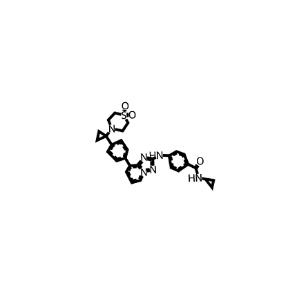 O=C(NC1CC1)c1ccc(Nc2nc3c(-c4ccc(C5(N6CCS(=O)(=O)CC6)CC5)cc4)cccn3n2)cc1